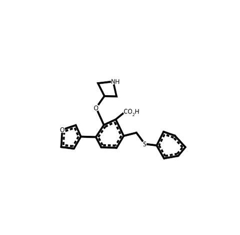 O=C(O)c1c(CSc2ccccc2)ccc(-c2ccoc2)c1OC1CNC1